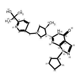 C[C@@H]1CN(Cc2ccc(C(C)(C)O)nc2)C[C@H]1c1nc2c(cnn2C2CCCC2)c(=O)[nH]1